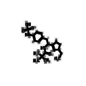 CCC1CSC([C@H](Cc2ccc(NS(=O)(=O)O)cc2)NC(=O)C(C)(C)C)=N1